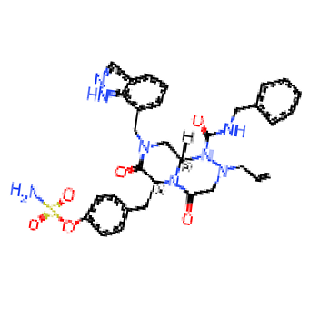 C=CCN1CC(=O)N2[C@@H](Cc3ccc(OS(N)(=O)=O)cc3)C(=O)N(Cc3cccc4cn[nH]c34)C[C@@H]2N1C(=O)NCc1ccccc1